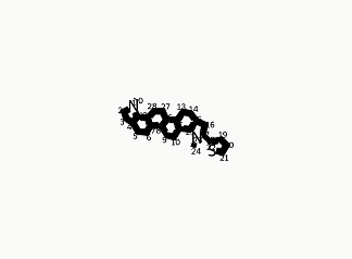 Cn1ccc2ccc3c4ccc5c(ccc6cc(-c7cccs7)n(C)c65)c4ccc3c21